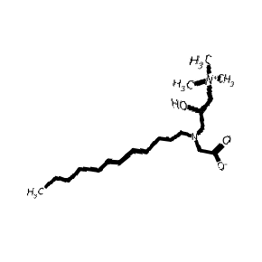 CCCCCCCCCCCCN(CC(=O)[O-])CC(O)C[N+](C)(C)C